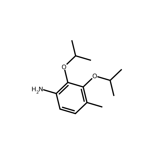 Cc1ccc(N)c(OC(C)C)c1OC(C)C